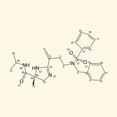 C=C(CCN(Cc1ccccc1)S(=O)(=O)c1ccccc1)C1=NC[C@](C)(C(=O)NC(C)C)N1